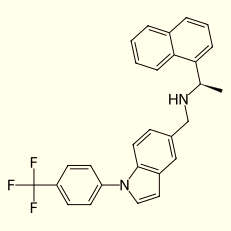 C[C@@H](NCc1ccc2c(ccn2-c2ccc(C(F)(F)F)cc2)c1)c1cccc2ccccc12